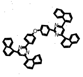 c1ccc2c(-c3cc(-c4cccc5ccccc45)nc(-c4ccc(Oc5ccc(-c6nc(-c7cccc8ccccc78)cc(-c7cccc8ccccc78)n6)cc5)cc4)n3)cccc2c1